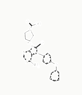 Nc1ncnc2c1n(-c1ccc(Oc3ccccc3)cc1)c(=O)n2[C@@H]1CCN(C(=O)O)C1